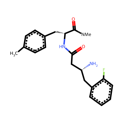 CNC(=O)[C@@H](Cc1ccc(C)cc1)NC(=O)C[C@H](N)Cc1ccccc1F